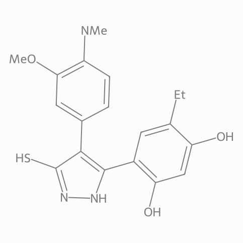 CCc1cc(-c2[nH]nc(S)c2-c2ccc(NC)c(OC)c2)c(O)cc1O